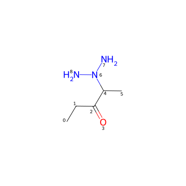 CCC(=O)C(C)N(N)N